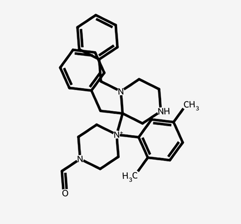 Cc1ccc(C)c([N+]2(C3(Cc4ccccc4)CNCCN3Cc3ccccc3)CCN(C=O)CC2)c1